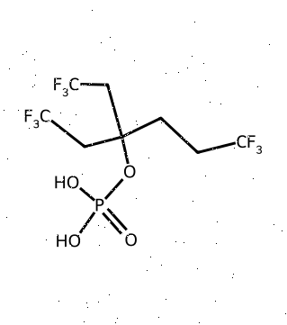 O=P(O)(O)OC(CCC(F)(F)F)(CC(F)(F)F)CC(F)(F)F